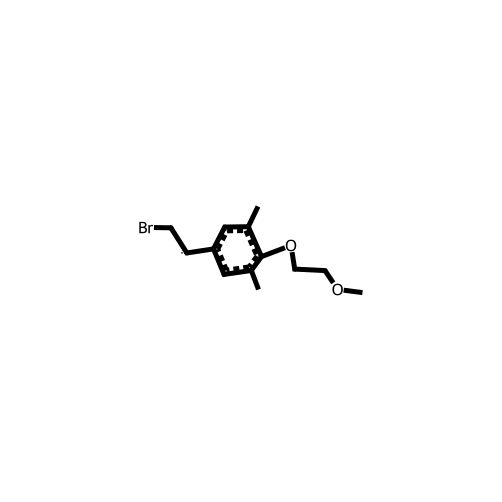 COCCOc1c(C)cc([CH]CBr)cc1C